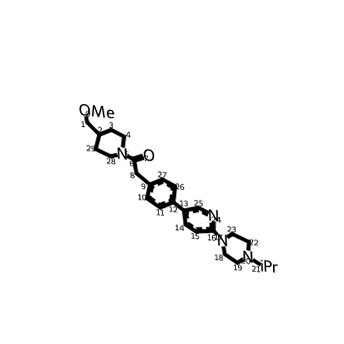 COCC1CCN(C(=O)Cc2ccc(-c3ccc(N4CCN(C(C)C)CC4)nc3)cc2)CC1